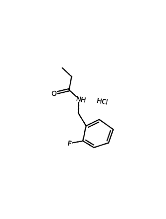 CCC(=O)NCc1ccccc1F.Cl